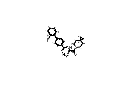 C[C@@H](NC(=O)c1ccc(-c2ccccc2F)cc1)C(=O)N1CCC2(CC1)CC2